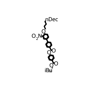 CCCCCCCCCCCCCCOc1ccc(-c2ccc(C(=O)Oc3ccc(C(=O)OC[C@@H](C)CC)cc3)cc2)cc1[N+](=O)[O-]